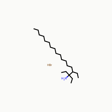 Br.CCCCCCCCCCCCCCC(CC)C(N)(CC)CC